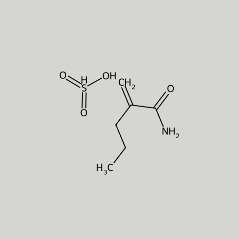 C=C(CCC)C(N)=O.O=[SH](=O)O